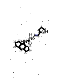 O=C(NS/C=C/C1CCCN1)Nc1c2c(cc3c1CCC3)CCC2